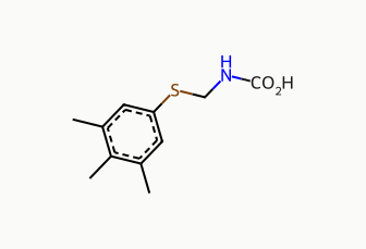 Cc1cc(SCNC(=O)O)cc(C)c1C